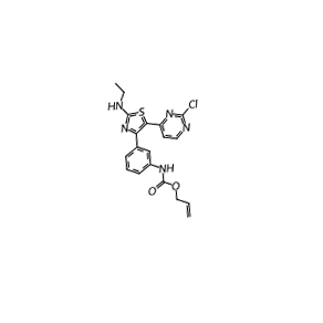 C=CCOC(=O)Nc1cccc(-c2nc(NCC)sc2-c2ccnc(Cl)n2)c1